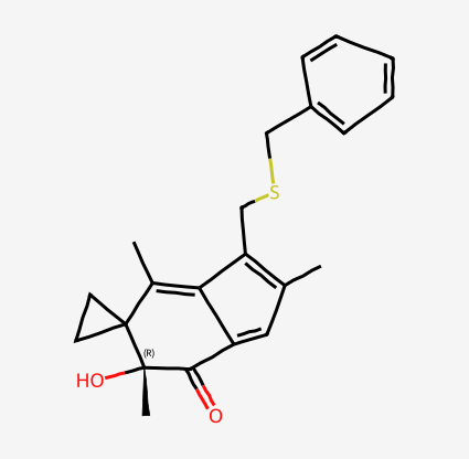 CC1=C(CSCc2ccccc2)C2=C(C)C3(CC3)[C@@](C)(O)C(=O)C2=C1